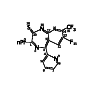 CCCc1nc(-c2ccccn2)c2cc(F)c(C(F)(F)F)cc2nc1=S